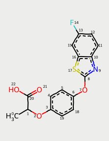 CC(Oc1ccc(Oc2nc3ccc(F)cc3s2)cc1)C(=O)O